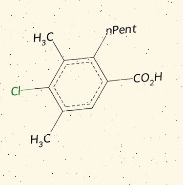 CCCCCc1c(C(=O)O)cc(C)c(Cl)c1C